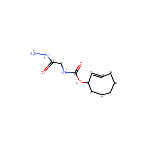 NNC(=O)CNC(=O)OC1/C=C/CCCCC1